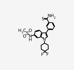 CS(=O)(=O)Nc1ccc2c(-c3cccc(C(N)=S)c3)cn(C3CCC(F)(F)CC3)c2c1